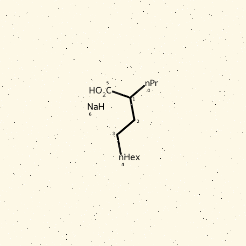 [CH2]CCC(CCCCCCCC)C(=O)O.[NaH]